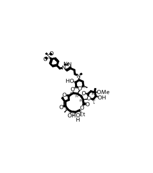 CC[C@H]1OC(=O)[C@H](C)[C@@H](O[C@H]2C[C@@](C)(OC)[C@@H](O)[C@H](C)O2)[C@H](C)[C@@H](O[C@@H]2O[C@H](C)C[C@H](N(C)CCc3cn(Cc4ccc(S(C)(=O)=O)cc4)nn3)[C@H]2O)[C@@]2(C)C[C@@H](CO2)C(=O)[C@H](C)[C@@H](O)[C@]1(C)O